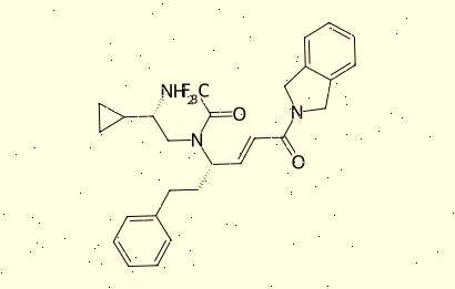 N[C@H](CN(C(=O)C(F)(F)F)[C@H](/C=C/C(=O)N1Cc2ccccc2C1)CCc1ccccc1)C1CC1